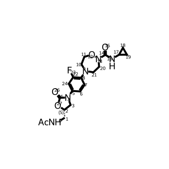 CC(=O)NC[C@H]1CN(c2ccc(N3CCON(C(=O)NC4CC4)CC3)c(F)c2)C(=O)O1